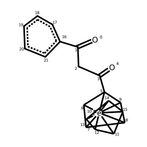 O=C(CC(=O)[C]12[CH]3[CH]4[CH]5[CH]1[Fe]45321678[CH]2[CH]1[CH]6[CH]7[CH]28)c1ccccc1